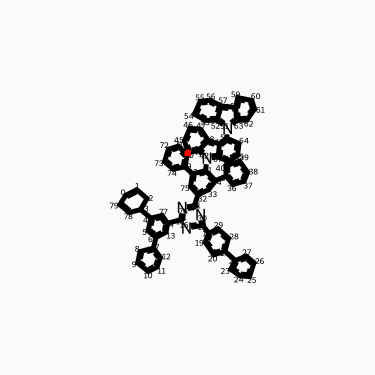 C1=CCC(c2cc(-c3ccccc3)cc(-c3nc(-c4ccc(-c5ccccc5)cc4)nc(-c4cc(-c5ccccc5)c(-n5c6ccccc6c6c(-n7c8ccccc8c8ccccc87)cccc65)c(-c5ccccc5)c4)n3)c2)C=C1